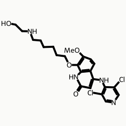 COc1ccc2c(Nc3c(Cl)cncc3Cl)cc(=O)[nH]c2c1OCCCCCCNCCO